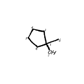 [CH2]C1(O)CCCC1